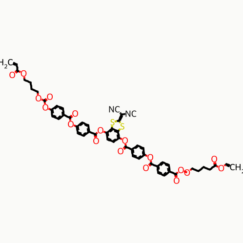 [C-]#[N+]/C(C#N)=C1/Sc2c(OC(=O)c3ccc(OC(=O)c4ccc(OC(=O)OCCCCOC(=O)C=C)cc4)cc3)ccc(OC(=O)c3ccc(OC(=O)c4ccc(C(=O)OOCCCCC(=O)OC=C)cc4)cc3)c2S1